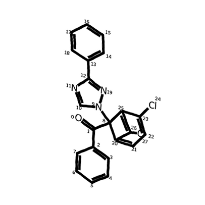 O=C(c1ccccc1)C1(n2cnc(-c3ccccc3)n2)C2=CC=C(Cl)C1=C2Cl